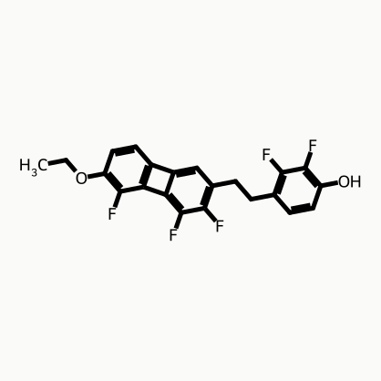 CCOc1ccc2c(c1F)-c1c-2cc(CCc2ccc(O)c(F)c2F)c(F)c1F